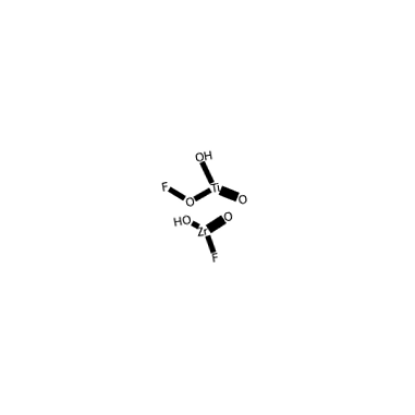 [O]=[Ti]([OH])[O]F.[O]=[Zr]([OH])[F]